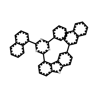 c1ccc(-c2nc(-c3cccc4ccccc34)nc(-c3cccc4oc5ccc(-c6ccc7ccccc7c6)cc5c34)n2)cc1